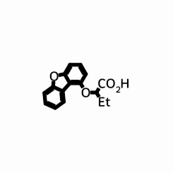 CCC(Oc1cccc2oc3ccccc3c12)C(=O)O